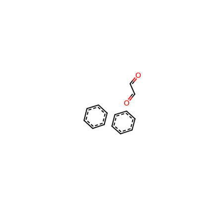 O=CC=O.c1ccccc1.c1ccccc1